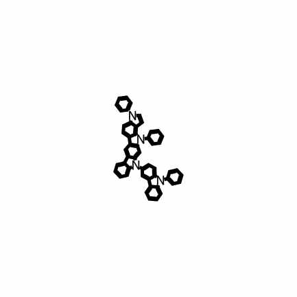 c1ccc(-n2ccc3c2ccc2c4cc5c6ccccc6n(-c6ccc7c(c6)c6ccccc6n7-c6ccccc6)c5cc4n(-c4ccccc4)c23)cc1